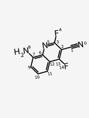 N#Cc1c(F)nc2c(N)cccc2c1F